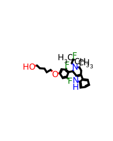 C[C@@H]1Cc2c([nH]c3ccccc23)C(c2c(F)cc(OCCCCCO)cc2F)N1CC(C)(C)F